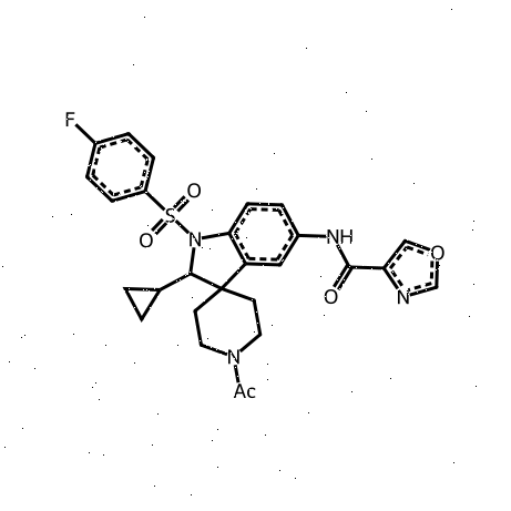 CC(=O)N1CCC2(CC1)c1cc(NC(=O)c3cocn3)ccc1N(S(=O)(=O)c1ccc(F)cc1)C2C1CC1